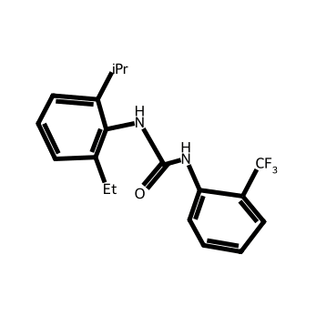 CCc1cccc(C(C)C)c1NC(=O)Nc1ccccc1C(F)(F)F